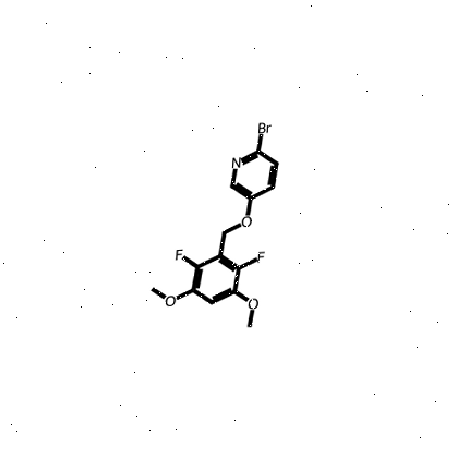 COc1cc(OC)c(F)c(COc2ccc(Br)nc2)c1F